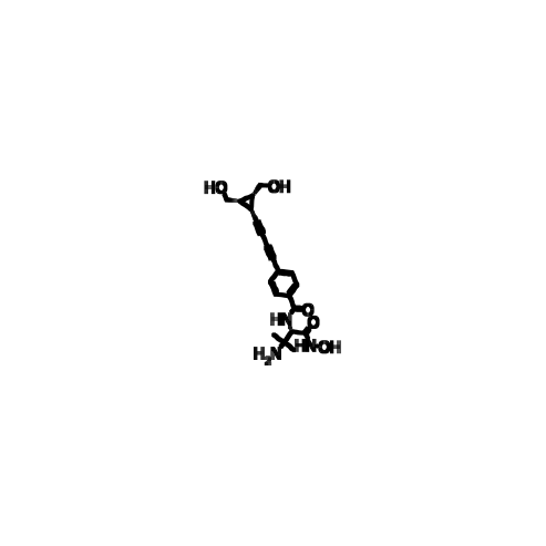 CC(C)(N)[C@H](NC(=O)c1ccc(C#CC#C[C@H]2[C@@H](CO)[C@H]2CO)cc1)C(=O)NO